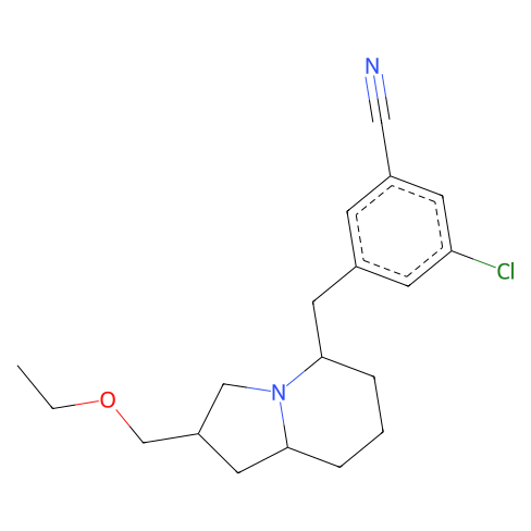 CCOCC1CC2CCCC(Cc3cc(Cl)cc(C#N)c3)N2C1